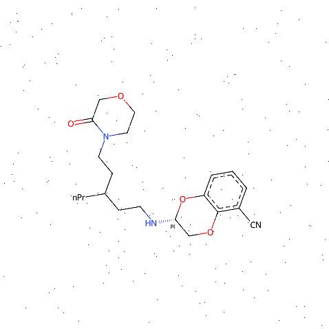 CCCC(CCN[C@H]1COc2c(C#N)cccc2O1)CCN1CCOCC1=O